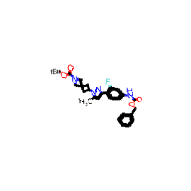 Cc1cc(-c2ccc(NC(=O)OCc3ccccc3)cc2F)nn1C1CC2(C1)CN(C(=O)OC(C)(C)C)C2